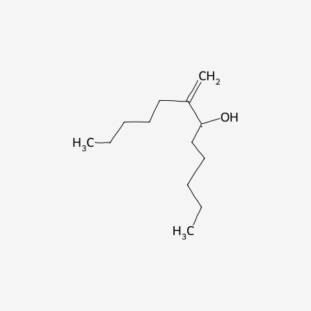 C=C(CCCCC)[C](O)CCCCC